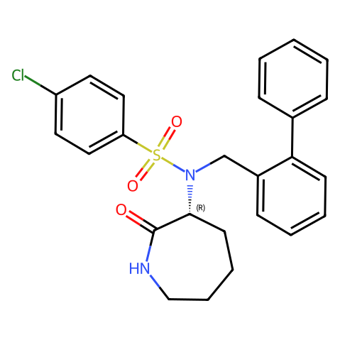 O=C1NCCCC[C@H]1N(Cc1ccccc1-c1ccccc1)S(=O)(=O)c1ccc(Cl)cc1